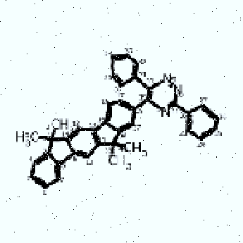 CC1(C)c2ccccc2-c2cc3c(cc21)-c1ccc(-c2nc(-c4ccccc4)nnc2-c2ccccc2)cc1C3(C)C